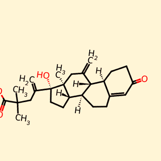 C=C1C[C@@]2(C)[C@@H](CC[C@@]2(O)C(=C)CC(C)(C)C(=O)O)[C@@H]2CCC3=CC(=O)CC[C@@H]3[C@@H]12